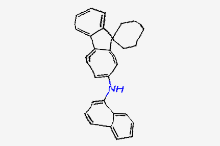 c1ccc2c(c1)-c1ccc(Nc3cccc4ccccc34)cc1C21CCCCC1